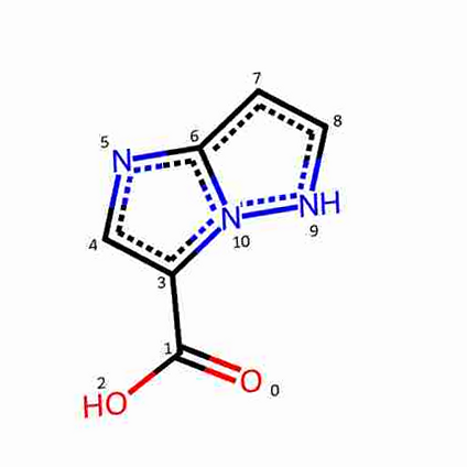 O=C(O)c1cnc2cc[nH]n12